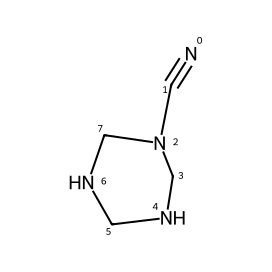 N#CN1CNCNC1